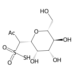 CC(=O)C([C@@H]1O[C@H](CO)[C@@H](O)[C@H](O)[C@@H]1O)S(=O)(=O)S